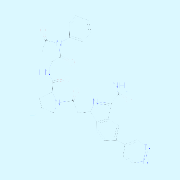 NC(=O)C1=NC(CC(=O)N2CC(F)CC2C(=O)NC2CC(=O)N(c3ccccc3)C2=O)c2ccc(-c3ccnnc3)cc21